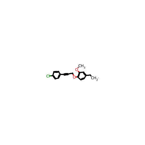 [CH2]Cc1ccc(OCC#Cc2ccc(Cl)cc2)c(OC)c1